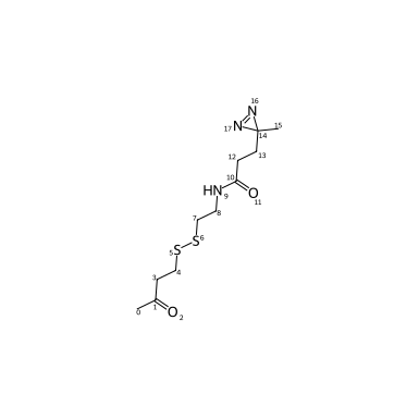 CC(=O)CCSSCCNC(=O)CCC1(C)N=N1